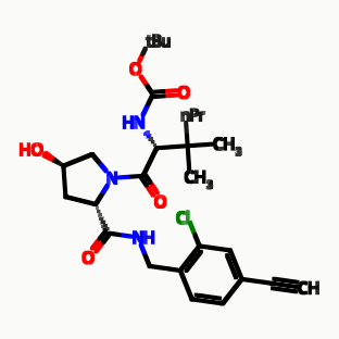 C#Cc1ccc(CNC(=O)[C@@H]2C[C@@H](O)CN2C(=O)[C@H](NC(=O)OC(C)(C)C)C(C)(C)CCC)c(Cl)c1